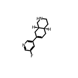 Fc1cncc(C2=CC[C@H]3CCNC[C@H]3C2)c1